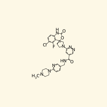 CN1CCN(c2ccc(CNC(=O)c3cnnc(N4CC[C@]5(C4)OC(=O)Nc4ccc(Cl)c(F)c45)c3)cn2)CC1